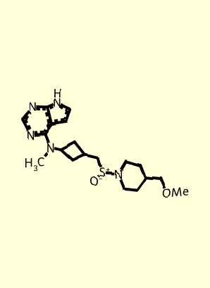 COCC1CCN([S+]([O-])CC2CC(N(C)c3ncnc4[nH]ccc34)C2)CC1